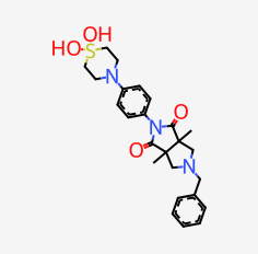 CC12CN(Cc3ccccc3)CC1(C)C(=O)N(c1ccc(N3CCS(O)(O)CC3)cc1)C2=O